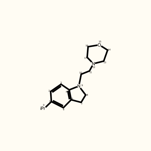 CC(C)c1ccc2c(c1)CCN2CCN1CCOCC1